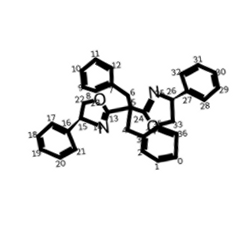 c1ccc(CC(Cc2ccccc2)(C2=N[C@@H](c3ccccc3)CO2)C2=N[C@@H](c3ccccc3)CO2)cc1